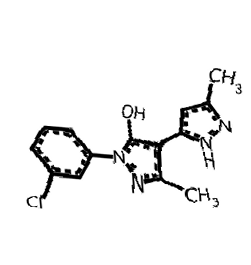 Cc1cc(-c2c(C)nn(-c3cccc(Cl)c3)c2O)[nH]n1